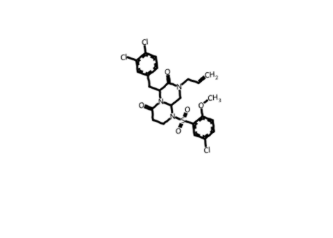 C=CCN1CC2N(C(=O)CCN2S(=O)(=O)c2cc(Cl)ccc2OC)C(Cc2ccc(Cl)c(Cl)c2)C1=O